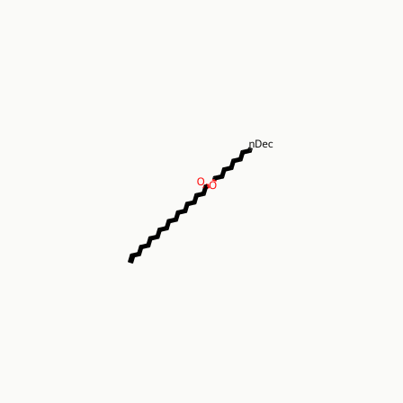 C=CCCCCCCCCCCCCCCCC(=O)OCCCCCCCCCCCCCCCCCC